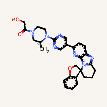 C[C@H]1CN(C(=O)CO)CCN1c1ncc(-c2ccc3nc4n(c3n2)C2(CCC4)COc3ccccc32)cn1